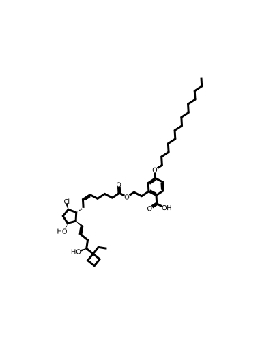 CCCCCCCCCCCCCCOc1ccc(C(=O)O)c(CCOC(=O)CCC/C=C\C[C@@H]2[C@@H](/C=C/C[C@H](O)C3(CC)CCC3)[C@H](O)C[C@H]2Cl)c1